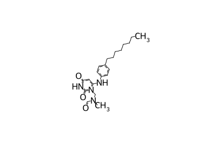 CCCCCCCCc1ccc(Nc2cc(=O)[nH]c(=O)n2CN(C)C=O)cc1